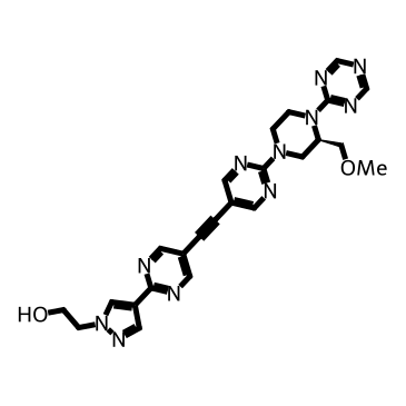 COC[C@H]1CN(c2ncc(C#Cc3cnc(-c4cnn(CCO)c4)nc3)cn2)CCN1c1ncncn1